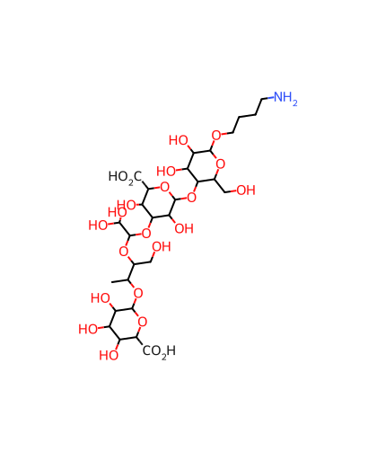 CC(OC1OC(C(=O)O)C(O)C(O)C1O)C(CO)OC(OC1C(O)C(OC2C(CO)OC(OCCCCN)C(O)C2O)OC(C(=O)O)C1O)C(O)O